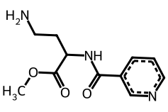 COC(=O)C(CCN)NC(=O)c1cccnc1